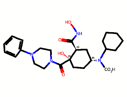 O=C(NO)[C@H]1C[C@H](N(C(=O)O)C2CCCCC2)CC[C@@]1(O)C(=O)N1CCN(c2ccccc2)CC1